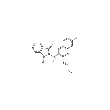 CC/C=C/c1nc2cc(F)ccc2cc1[C@H](C)N1C(=O)c2ccccc2C1=O